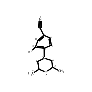 CC1CN(c2ccc(C#N)cc2F)CC(C)O1